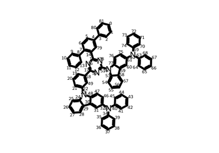 c1ccc(-c2ccc(-c3ccccc3)c(-c3nc(-c4cccc(-n5c6ccccc6c6cc(N(c7ccccc7)c7ccccc7)ccc65)c4)nc(-n4c5ccccc5c5cc(N(c6ccccc6)c6ccccc6)ccc54)n3)c2)cc1